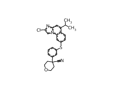 CC(C)c1cc2nc(Cl)cn2c2cc(Sc3cccc(C4(C#N)CCOCC4)c3)ccc12